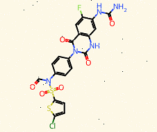 NC(=O)Nc1cc2[nH]c(=O)n(-c3ccc(N([C]=O)S(=O)(=O)c4ccc(Cl)s4)cc3)c(=O)c2cc1F